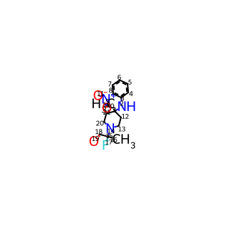 CC1(Nc2ccccc2[N+](=O)[O-])CCN(C(C)(F)C=O)CC1